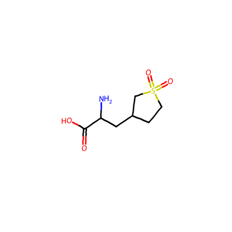 NC(CC1CCS(=O)(=O)C1)C(=O)O